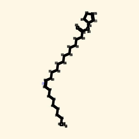 CCCCCCCC/C=C\CCCCCCCCCCCC(=O)ON1C=NCC1